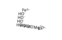 [Fe+2].[La+3].[Mg+2].[OH-].[OH-].[OH-].[OH-].[OH-].[OH-].[OH-]